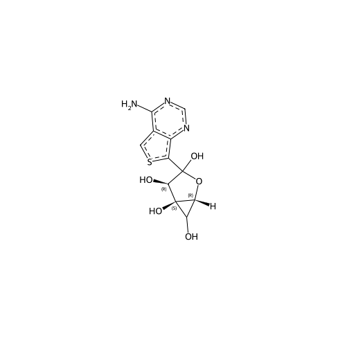 Nc1ncnc2c(C3(O)O[C@@H]4C(O)[C@]4(O)[C@H]3O)scc12